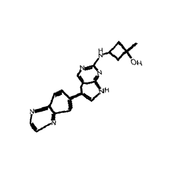 CC1(O)CC(Nc2ncc3c(-c4ccc5nccnc5c4)c[nH]c3n2)C1